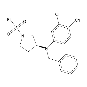 CCS(=O)(=O)N1CC[C@H](N(Cc2ccccc2)c2ccc(C#N)c(Cl)c2)C1